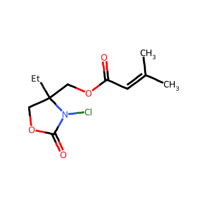 CCC1(COC(=O)C=C(C)C)COC(=O)N1Cl